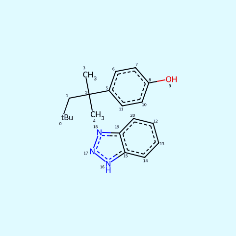 CC(C)(C)CC(C)(C)c1ccc(O)cc1.c1ccc2[nH]nnc2c1